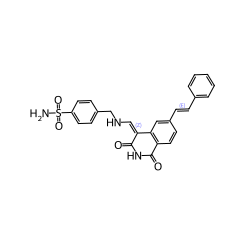 NS(=O)(=O)c1ccc(CN/C=C2\C(=O)NC(=O)c3ccc(/C=C/c4ccccc4)cc32)cc1